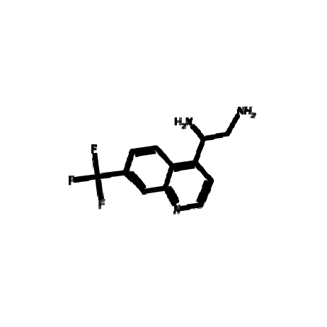 NCC(N)c1ccnc2cc(C(F)(F)F)ccc12